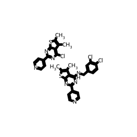 Cc1sc2nc(-c3ccncc3)nc(Cl)c2c1C.Cc1sc2nc(-c3ccncc3)nc(NCc3ccc(Cl)c(Cl)c3)c2c1C